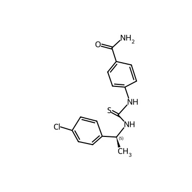 C[C@H](NC(=S)Nc1ccc(C(N)=O)cc1)c1ccc(Cl)cc1